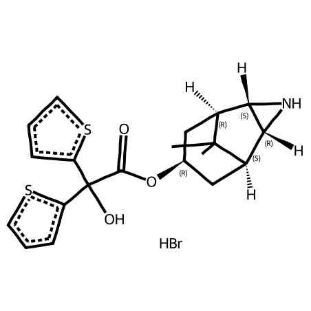 Br.CC1(C)[C@@H]2C[C@@H](OC(=O)C(O)(c3cccs3)c3cccs3)C[C@H]1[C@@H]1N[C@@H]12